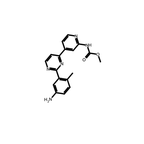 COC(=O)Nc1cc(-c2ccnc(-c3cc(N)ccc3C)n2)ccn1